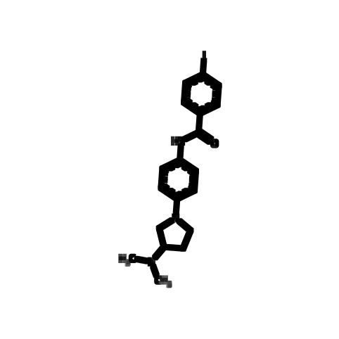 CN(C)C1CCN(c2ccc(NC(=O)c3ccc(I)cc3)cc2)C1